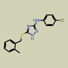 Cc1ccccc1CSc1nc(Nc2ccc(Cl)cc2)n[nH]1